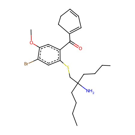 CCCCC(N)(CCCC)CSc1cc(Br)c(OC)cc1C(=O)C1=CC=CCC1